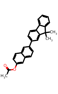 CC(=O)Oc1ccc2cc(-c3ccc4c(c3)C(C)(C)c3ccccc3-4)ccc2c1